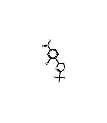 O=[N+]([O-])c1ccc(C2CSC(C(F)(F)F)=N2)c(Cl)c1